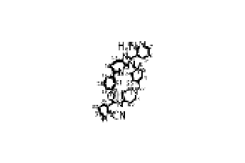 CC1(n2c(-c3cccnc3N)nc3ccc(-c4ccccc4)nc32)C=CC(CN2CCC(NC(=O)c3cccnc3C#N)CC2)=CC1